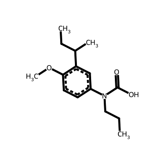 CCCN(C(=O)O)c1ccc(OC)c(C(C)CC)c1